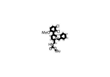 COc1ccc(Cl)c(Cl)c1-c1ccc(CNC(=O)OC(C)(C)C)[n+](Cc2ccccc2)c1